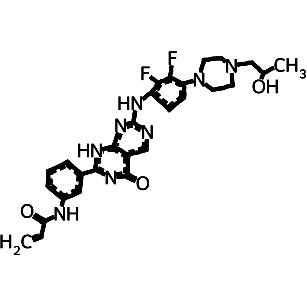 C=CC(=O)Nc1cccc(-c2nc(=O)c3cnc(Nc4ccc(N5CCN(CC(C)O)CC5)c(F)c4F)nc3[nH]2)c1